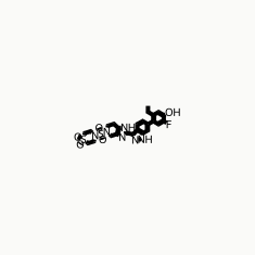 CCc1cc(O)c(F)cc1-c1ccc2c(-c3nc4c([nH]3)CCN(S(=O)(=O)N3CCS(=O)(=O)CC3)C4)n[nH]c2c1